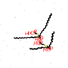 CCCCCCCCCCCCC(CCCCCCCCCCCC)(CSCCC(=O)O)C(=O)O.CCCCCCCCCCCCCCCCCCC(CCCCCCCCCCCCCCCCCC)(CSCCC(=O)O)C(=O)O